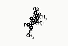 CCCCOc1ccc(C2(c3ccc(F)cc3)C=Cc3c4c(c5ccccc5c3O2)-c2c(cc(C)c3c(=O)c5cc([N+](=O)[O-])ccc5oc23)C4(C)C)cc1